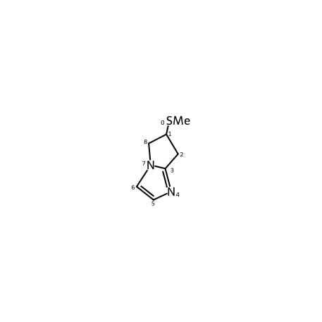 CSC1Cc2nccn2C1